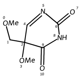 COCC1(OC)C=NC(=O)NC1=O